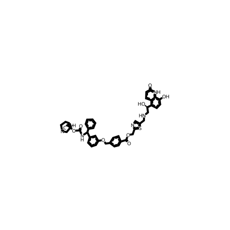 O=C(NC(c1ccccc1)c1cccc(OCc2ccc(C(=O)OCc3ncc(CNC[C@@H](O)c4ccc(O)c5[nH]c(=O)ccc45)s3)cc2)c1)O[C@H]1CN2CCC1CC2